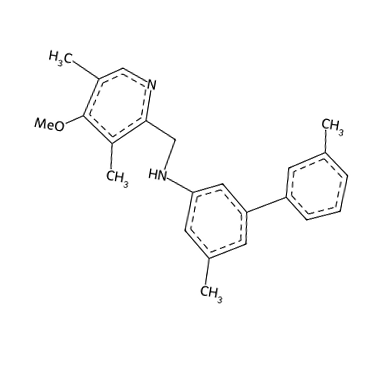 COc1c(C)cnc(CNc2cc(C)cc(-c3cccc(C)c3)c2)c1C